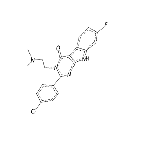 CN(C)CCn1c(-c2ccc(Cl)cc2)nc2[nH]c3cc(F)ccc3c2c1=O